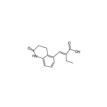 CC/C(=C\c1cccc2c1CCC(=O)N2)C(=O)O